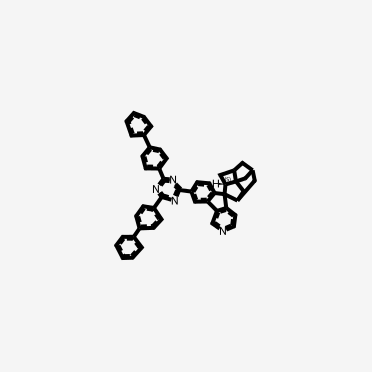 c1ccc(-c2ccc(-c3nc(-c4ccc(-c5ccccc5)cc4)nc(-c4ccc5c(c4)-c4cnccc4C54C5CC6CC7C[C@H]4C7(C6)C5)n3)cc2)cc1